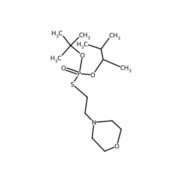 CC(C)C(C)OP(=O)(OC(C)(C)C)SCCN1CCOCC1